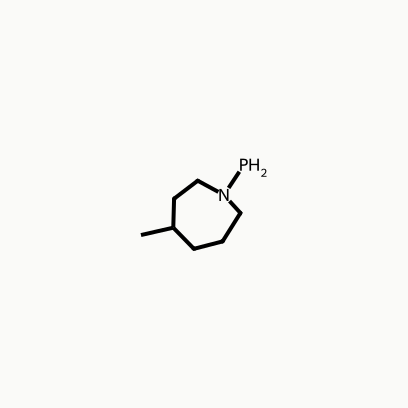 CC1CCCN(P)CC1